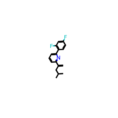 C=C(CC(C)C)c1cccc(-c2ccc(F)cc2F)n1